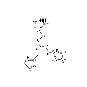 c1cc(CCN(CCc2cc[nH]n2)CCc2cc[nH]n2)n[nH]1